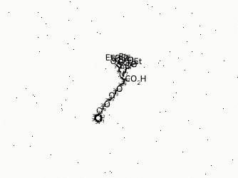 CCO[Si](CCCN(CCC[Si](OCC)(OCC)OCC)CC(CCOCCOCCOCCOc1ccccc1)C(=O)O)(OCC)OCC